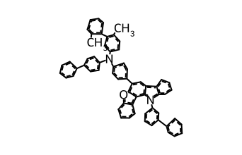 Cc1ccccc1-c1cc(N(c2ccc(-c3ccccc3)cc2)c2ccc(-c3cc4c5ccccc5n(-c5cccc(-c6ccccc6)c5)c4c4c3oc3ccccc34)cc2)ccc1C